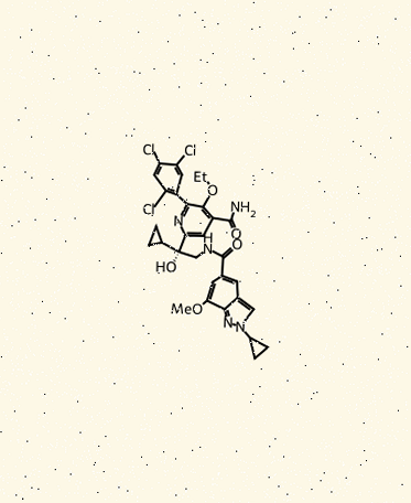 CCOc1c(C(N)=O)cc([C@@](O)(CNC(=O)c2cc(OC)c3nn(C4CC4)cc3c2)C2CC2)nc1-c1cc(Cl)c(Cl)cc1Cl